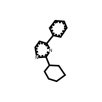 c1ccc(-c2ccnc(C3CCCCC3)n2)cc1